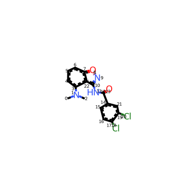 CN(C)c1cccc2onc(NC(=O)c3ccc(Cl)c(Cl)c3)c12